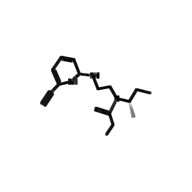 C#CC1=CC=CC(NCCN(C(=C)CC)[C@@H](C)CC)N1